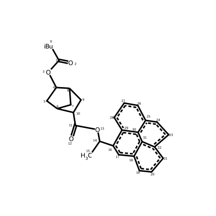 CCC(C)C(=O)OC1CC2CC1CC2C(=O)OC(C)c1cc2cccc3ccc4cccc1c4c32